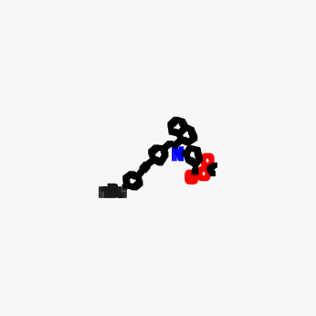 CCCCc1ccc(C#Cc2ccc(CC(N=C3C=C4C(=O)OC(C)(C)OC4=CC3)c3cccc4ccccc34)cc2)cc1